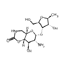 C[C@@H]1O[C@H](CO)[C@@H](O[C@H]2O[C@H]3CNC(=O)O[C@H]3[C@H](O)[C@H]2N)[C@H]1O